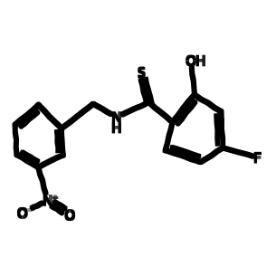 O=[N+]([O-])c1cccc(CNC(=S)c2ccc(F)cc2O)c1